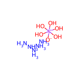 N.N.N.N.N.[O-][I+](O)(O)(O)(O)O